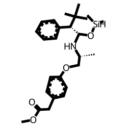 COC(=O)Cc1ccc(OC[C@@H](C)NC(O[SiH](C)C)[C@H](c2ccccc2)C(C)(C)C)cc1